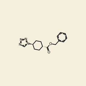 O=C(OCc1ccccc1)[C@H]1CC[C@H](n2cnnn2)CC1